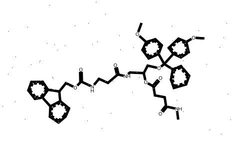 CNC(=O)CCC(=O)OC(CNC(=O)CCNC(=O)OCC1c2ccccc2-c2ccccc21)COC(c1ccccc1)(c1ccc(OC)cc1)c1ccc(OC)cc1